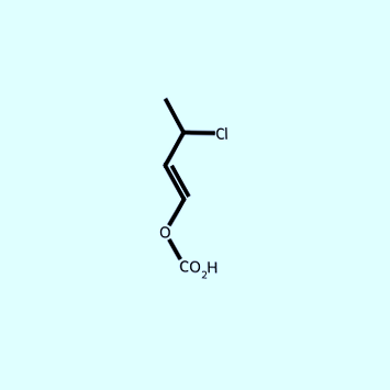 CC(Cl)C=COC(=O)O